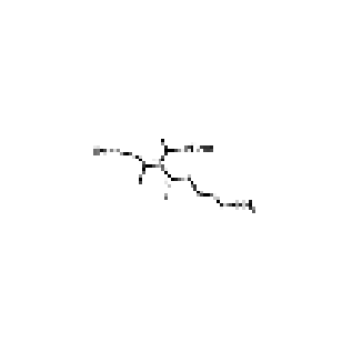 CCCCCC(C)[C@H](C(C)CC(C)CCC)[C@@H](C)CCCCN